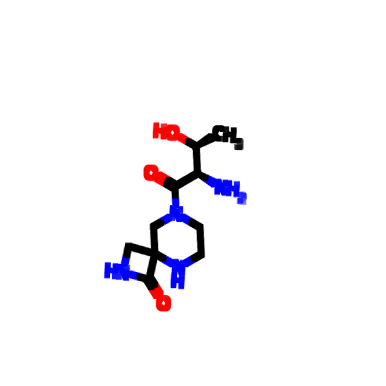 C[C@H](O)[C@@H](N)C(=O)N1CCNC2(CNC2=O)C1